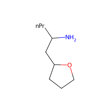 CCCC(N)CC1CCCO1